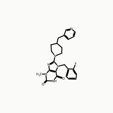 Cn1c(=O)[nH]c(=O)c2c1nc(N1CCC(Cc3cccnc3)CC1)n2Cc1ccccc1F